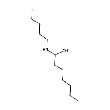 CCCCCCC(O)NCCCCC